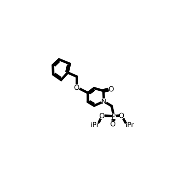 CC(C)OP(=O)(Cn1ccc(OCc2ccccc2)cc1=O)OC(C)C